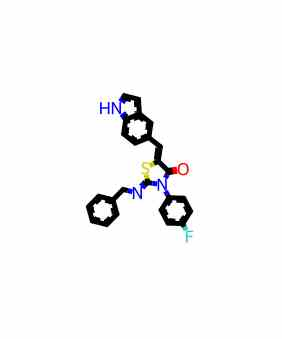 O=C1C(=Cc2ccc3[nH]ccc3c2)SC(=NCc2ccccc2)N1c1ccc(F)cc1